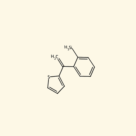 C=C(c1cccs1)c1ccccc1[SiH3]